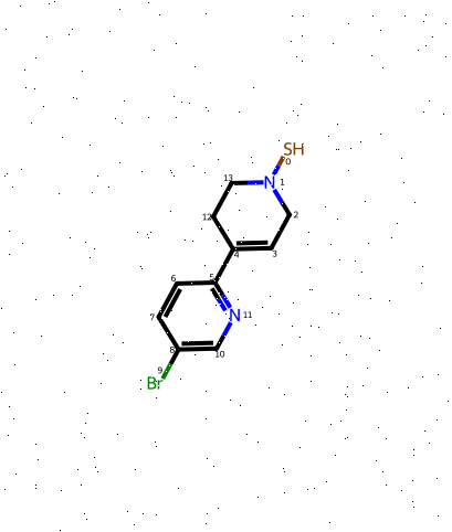 SN1CC=C(c2ccc(Br)cn2)CC1